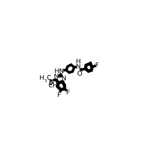 CN(C)c1nc(NC2CCC(NC(=O)c3ccc(F)cc3)CC2)nc2cc(F)c(F)cc12